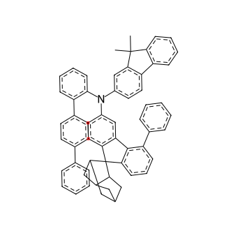 CC1(C)c2ccccc2-c2ccc(N(c3ccc4c(c3)-c3c(-c5ccccc5)cccc3C43C4CC5CC(C4)C3C5)c3ccccc3-c3ccc(-c4ccccc4)cc3)cc21